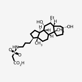 CC[C@H]1[C@@H](O)[C@@H]2[C@H](CC[C@]3(C)[C@@H](CCCNS(=O)(=O)CC(=O)O)CC[C@@H]23)[C@@]2(C)CC[C@@H](O)C[C@@H]12